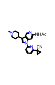 CC(=O)Nc1cc2c(cn1)c(C1CCN(C)CC1)cn2-c1cccc(C2(C#N)CC2)n1